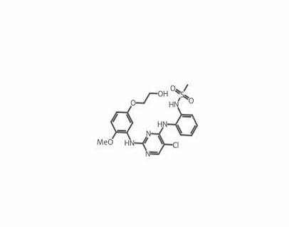 COc1ccc(OCCO)cc1Nc1ncc(Cl)c(Nc2ccccc2NS(C)(=O)=O)n1